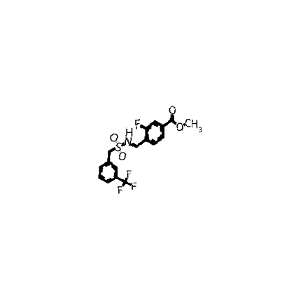 COC(=O)c1ccc(CNS(=O)(=O)Cc2cccc(C(F)(F)F)c2)c(F)c1